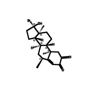 CC[C@@]1(O)CC[C@H]2[C@@H]3C[C@H](C)C4=CC(=O)C(=O)C[C@]4(C)[C@H]3CC[C@@]21C